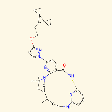 CC1CCNc2cccc(n2)SNC(=O)c2ccc(-n3ccc(OCCC4C5(CC5)C45CC5)n3)nc2N2CC1CC2(C)C